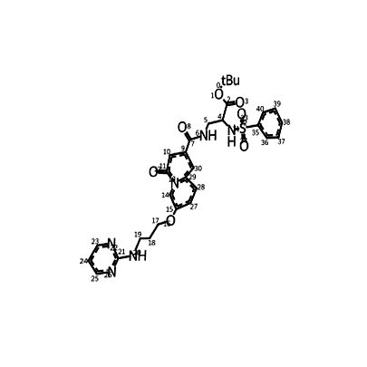 CC(C)(C)OC(=O)C(CNC(=O)c1cc(=O)n2cc(OCCCNc3ncccn3)ccc2c1)NS(=O)(=O)c1ccccc1